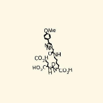 COc1ccc(-c2cn(CC(=O)NCCCCC(C(=O)O)N(C)C(=O)NC(CCC(=O)O)C(=O)O)nn2)cc1